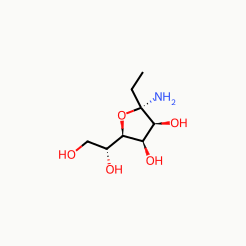 CC[C@]1(N)O[C@H]([C@H](O)CO)[C@H](O)[C@@H]1O